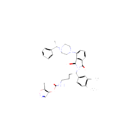 COc1ccc([C@@H](CCCNC(=O)Oc2cnoc2C)N2C(=O)c3cccc(N4CCN([C@H](C)c5ccccc5)CC4)c3C2=O)cc1OC